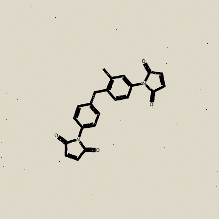 Cc1cc(N2C(=O)C=CC2=O)ccc1Cc1ccc(N2C(=O)C=CC2=O)cc1